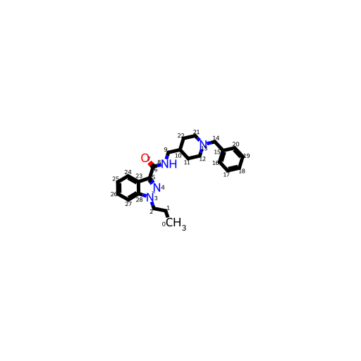 CCCn1nc(C(=O)NCC2CCN(Cc3ccccc3)CC2)c2ccccc21